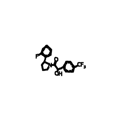 O=C(C(O)c1ccc(C(F)(F)F)cc1)N1CCCC1c1ccccc1F